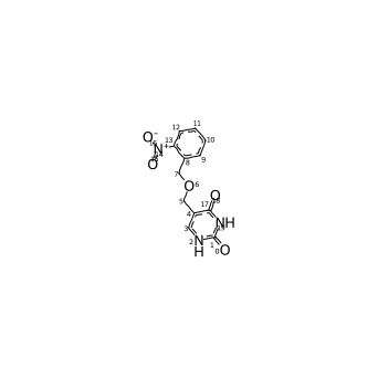 O=c1[nH]cc(COCc2ccccc2[N+](=O)[O-])c(=O)[nH]1